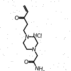 C=CC(=O)CCN1CCN(CC(N)=O)CC1.Cl